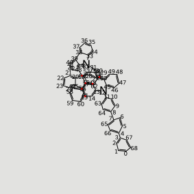 c1ccc(-c2ccc(-c3ccc(N(c4ccc5c(c4)C4(c6ccccc6-5)c5ccccc5-n5c6ccccc6c6cccc4c65)c4ccccc4-c4cccc(-c5ccccc5)c4)cc3)cc2)cc1